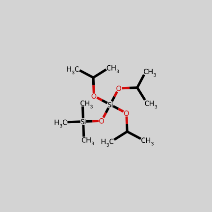 CC(C)O[Si](OC(C)C)(OC(C)C)O[Si](C)(C)C